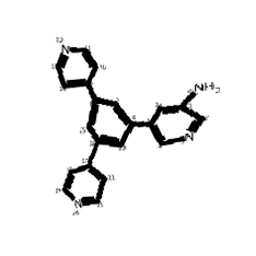 Nc1cncc(-c2cc(-c3ccncc3)cc(-c3ccncc3)c2)c1